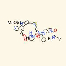 CCN1C(C2CC2)[C@@H]1C(=O)N1CC[C@]2(CCN(C(C(=O)N[C@H]3Cc4nc(cs4)-c4ccc5c(c4)c(c(-c4cccnc4[C@H](C)OC)n5CC)CC(C)(C)COC(=O)[C@@H]4CCCN(N4)C3=O)C3CCCC3)C2)C1